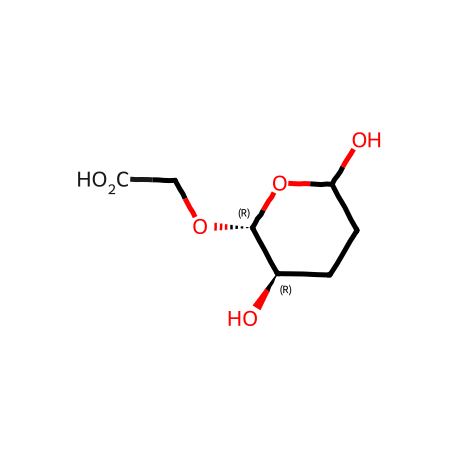 O=C(O)CO[C@@H]1OC(O)CC[C@H]1O